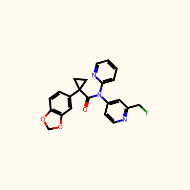 O=C(N(c1ccnc(CF)c1)c1ccccn1)C1(c2ccc3c(c2)OCO3)CC1